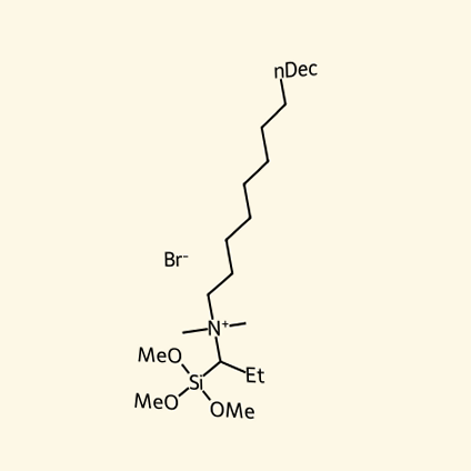 CCCCCCCCCCCCCCCCCC[N+](C)(C)C(CC)[Si](OC)(OC)OC.[Br-]